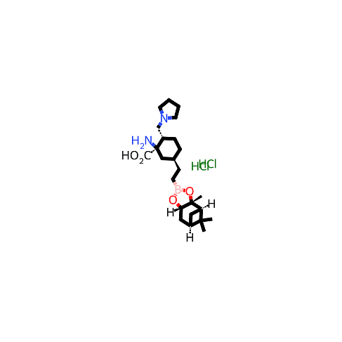 CC1(C)[C@H]2C[C@@H]3OB(CC[C@@H]4CC[C@@H](CN5CCCC5)[C@@](N)(C(=O)O)C4)O[C@]3(C)[C@@H]1C2.Cl.Cl